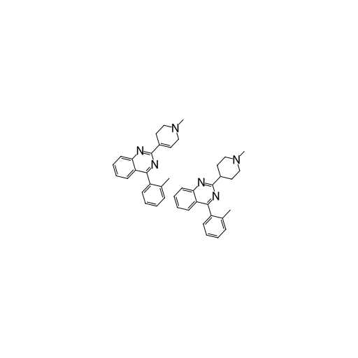 Cc1ccccc1-c1nc(C2=CCN(C)CC2)nc2ccccc12.Cc1ccccc1-c1nc(C2CCN(C)CC2)nc2ccccc12